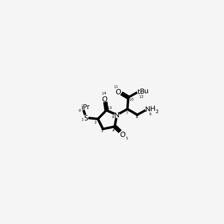 CC(C)SC1CC(=O)N(C(CN)C(=O)C(C)(C)C)C1=O